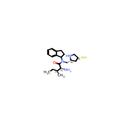 CC[C@H](C)[C@H](N)C(=O)N(C[C@H]1C[C@@H](S)CN1)C1CCc2ccccc21